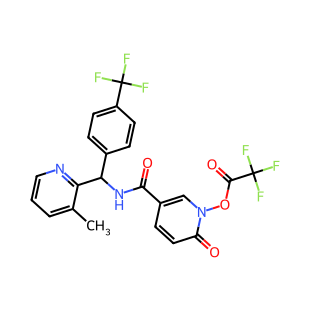 Cc1cccnc1C(NC(=O)c1ccc(=O)n(OC(=O)C(F)(F)F)c1)c1ccc(C(F)(F)F)cc1